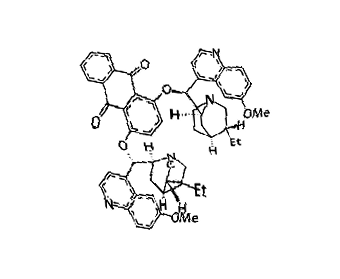 CC[C@H]1CN2CC[C@H]1C[C@H]2[C@@H](Oc1ccc(O[C@@H](c2ccnc3ccc(OC)cc23)[C@@H]2C[C@@H]3CCN2C[C@@H]3CC)c2c1C(=O)c1ccccc1C2=O)c1ccnc2ccc(OC)cc12